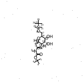 CN(C(=O)OC(C)(C)C)C1=N[C@@H]2[C@@H](O)[C@H](O)C(CO[Si](C)(C)C(C)(C)C)O[C@@H]2S1